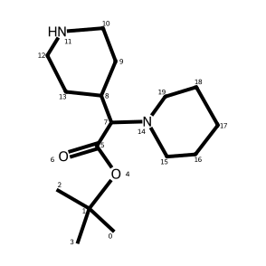 CC(C)(C)OC(=O)C(C1CCNCC1)N1CCCCC1